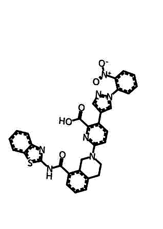 O=C(Nc1nc2ccccc2s1)c1cccc2c1CN(c1ccc(-c3cnn(-c4ccccc4[N+](=O)[O-])c3)c(C(=O)O)n1)CC2